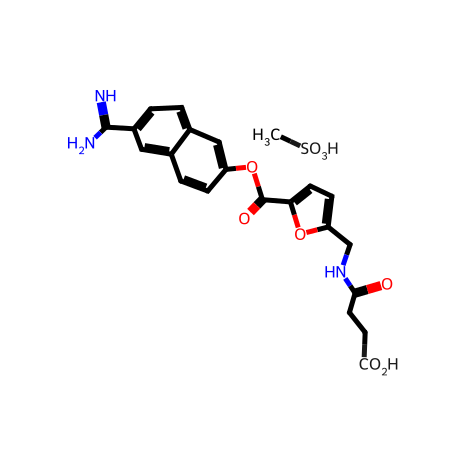 CS(=O)(=O)O.N=C(N)c1ccc2cc(OC(=O)c3ccc(CNC(=O)CCC(=O)O)o3)ccc2c1